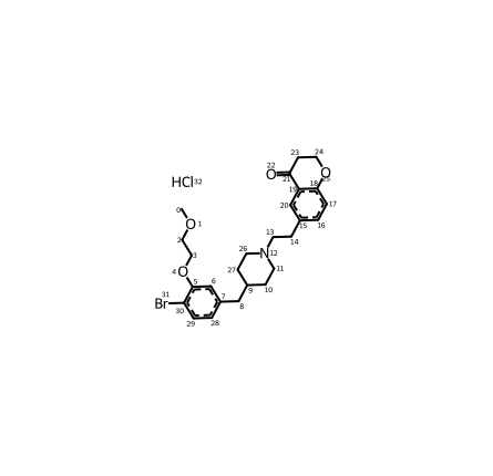 COCCOc1cc(CC2CCN(CCc3ccc4c(c3)C(=O)CCO4)CC2)ccc1Br.Cl